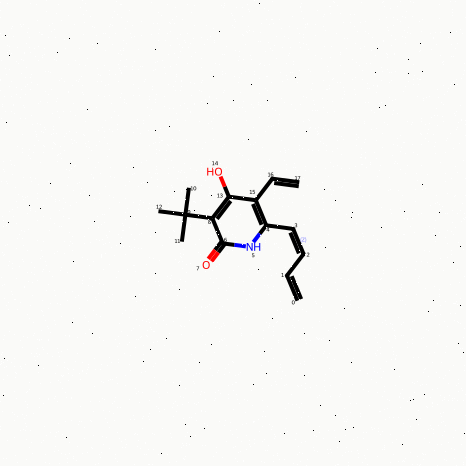 C=C/C=C\c1[nH]c(=O)c(C(C)(C)C)c(O)c1C=C